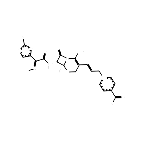 NC(=O)c1cc[n+](C/C=C/C2=C(C(=O)[O-])N3C(=O)[C@@H](NC(=O)C(=NO)c4csc(N)n4)[C@@H]3SC2)cc1